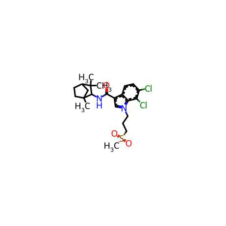 CC12CCC(C1)C(C)(C)C2NC(=O)c1cn(CCCS(C)(=O)=O)c2c(Cl)c(Cl)ccc12